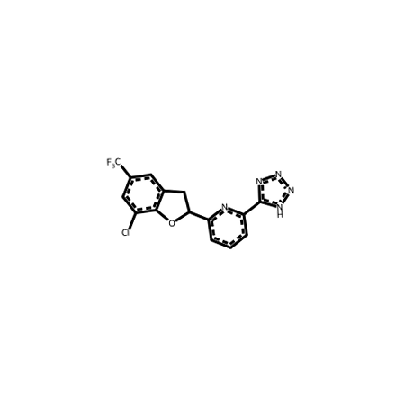 FC(F)(F)c1cc(Cl)c2c(c1)CC(c1cccc(-c3nnn[nH]3)n1)O2